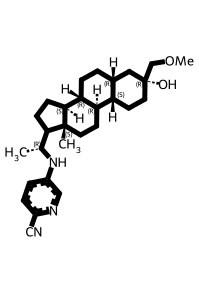 COC[C@@]1(O)CC[C@H]2[C@H](CC[C@@H]3[C@@H]2CC[C@]2(C)C([C@@H](C)Nc4ccc(C#N)nc4)CC[C@@H]32)C1